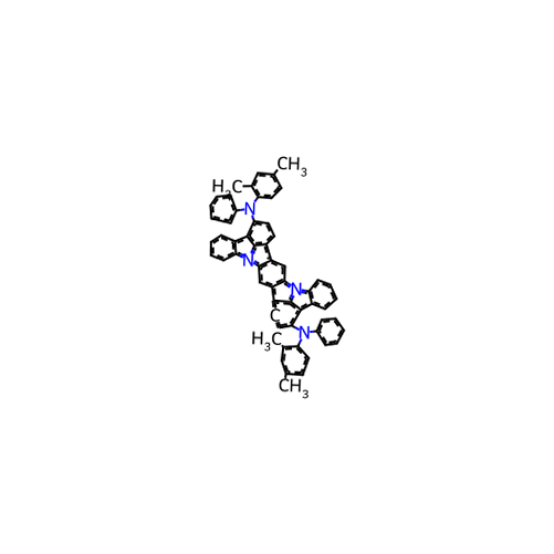 Cc1ccc(N(c2ccccc2)c2ccc3c4cc5c(cc4n4c6ccccc6c2c34)c2ccc(N(c3ccccc3)c3ccc(C)cc3C)c3c4ccccc4n5c23)c(C)c1